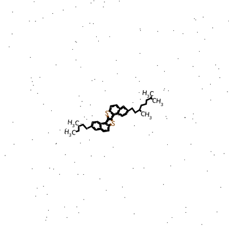 CCC(C)CCc1ccc2c(ccc3sc4c(sc5ccc6cc(CCC(C)CCCC(C)C)ccc6c54)c32)c1